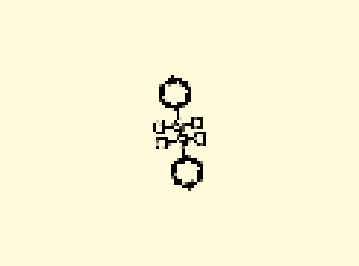 Cl[Si](Cl)(c1ccccc1)[Si](Cl)(Cl)c1ccccc1